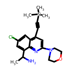 CC(N)c1cc(Cl)cc2c(C#C[Si](C)(C)C)cc(N3CCOCC3)nc12